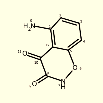 Nc1cccc2o[nH]c(=O)c(=O)c12